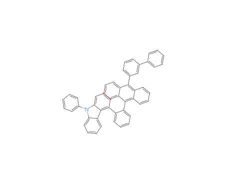 c1ccc(-c2cccc(-c3c4ccccc4c(-c4ccccc4-c4cccc5c4c4ccccc4n5-c4ccccc4)c4ccccc34)c2)cc1